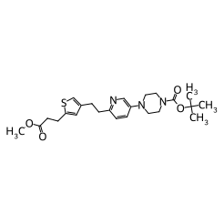 COC(=O)CCc1cc(CCc2ccc(N3CCN(C(=O)OC(C)(C)C)CC3)cn2)cs1